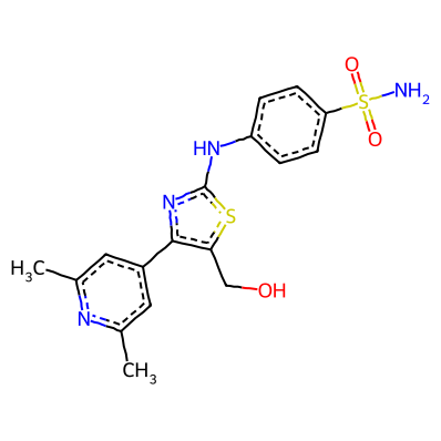 Cc1cc(-c2nc(Nc3ccc(S(N)(=O)=O)cc3)sc2CO)cc(C)n1